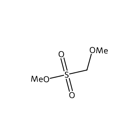 COCS(=O)(=O)OC